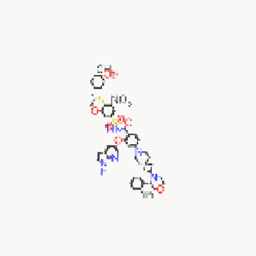 CC(C)c1ccccc1[C@H]1COCCN1C1CC2(CCN(c3ccc(C(=O)NS(=O)(=O)c4cc5c(c([N+](=O)[O-])c4)S[C@@H](C[C@H]4CC[C@](C)(O)CC4)CO5)c(Oc4cnc5[nH]ccc5c4)c3)CC2)C1